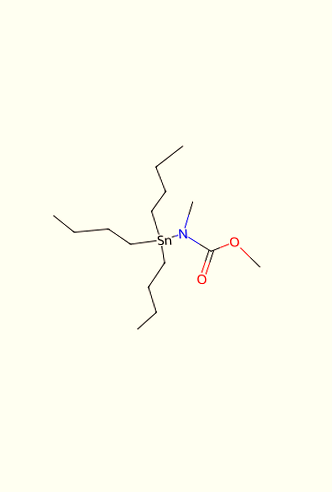 CCC[CH2][Sn]([CH2]CCC)([CH2]CCC)[N](C)C(=O)OC